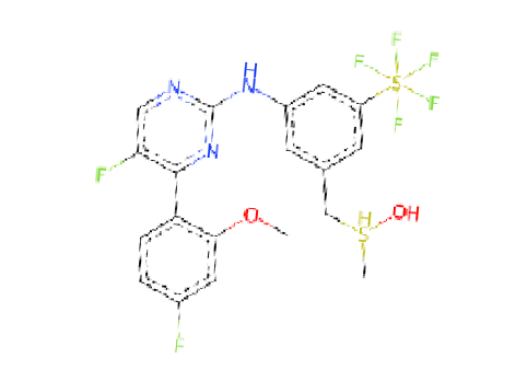 COc1cc(F)ccc1-c1nc(Nc2cc(C[SH](C)O)cc(S(F)(F)(F)(F)F)c2)ncc1F